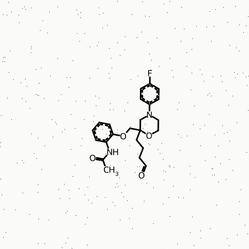 CC(=O)Nc1ccccc1OCC1(CCCC=O)CN(c2ccc(F)cc2)CCO1